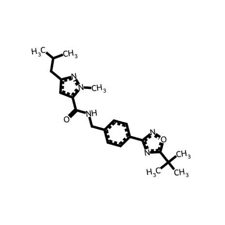 CC(C)Cc1cc(C(=O)NCc2ccc(-c3noc(C(C)(C)C)n3)cc2)n(C)n1